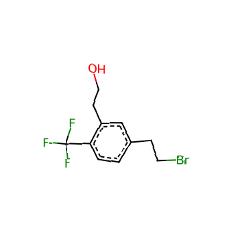 OCCc1cc(CCBr)ccc1C(F)(F)F